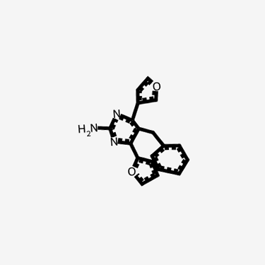 Nc1nc(-c2ccoc2)c(Cc2ccccc2)c(-c2ccco2)n1